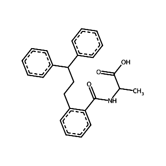 CC(NC(=O)c1ccccc1CCC(c1ccccc1)c1ccccc1)C(=O)O